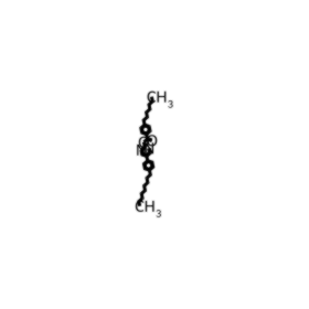 CCCCCCCCCc1ccc(-c2cnc(OC(=O)c3ccc(CCCCCCC)cc3)nc2)cc1